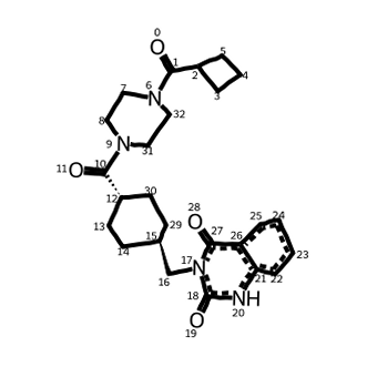 O=C(C1CCC1)N1CCN(C(=O)[C@H]2CC[C@H](Cn3c(=O)[nH]c4ccccc4c3=O)CC2)CC1